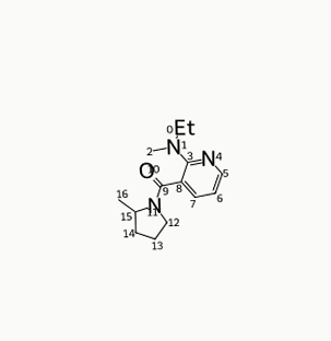 CCN(C)c1ncccc1C(=O)N1CCCC1C